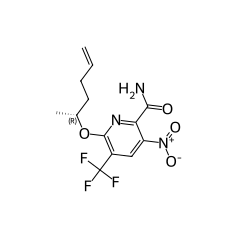 C=CCC[C@@H](C)Oc1nc(C(N)=O)c([N+](=O)[O-])cc1C(F)(F)F